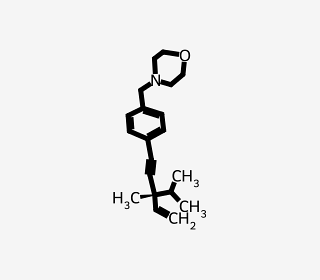 C=C[C@](C)(C#Cc1ccc(CN2CCOCC2)cc1)C(C)C